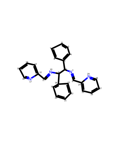 C(=N\C(c1ccccc1)C(/N=C/c1ccccn1)c1ccccc1)/c1ccccn1